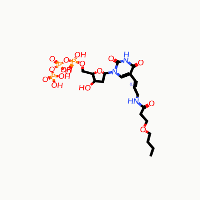 CCCCOCCC(=O)NC/C=C/c1cn(C2CC(O)C(COP(=O)(O)OP(=O)(O)OP(=O)(O)O)O2)c(=O)[nH]c1=O